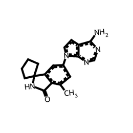 Cc1cc(-n2ccc3c(N)ncnc32)cc2c1C(=O)NC21CCCC1